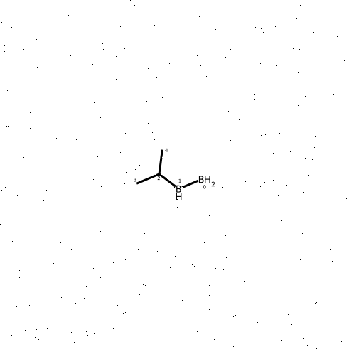 BBC(C)C